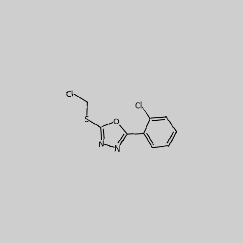 ClCSc1nnc(-c2ccccc2Cl)o1